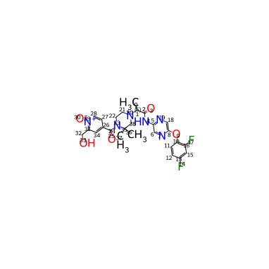 C[C@@H](C(=O)Nc1cnc(Oc2ccc(F)cc2F)cn1)N1CCN(C(=O)c2cc[n+]([O-])c(CO)c2)C(C)(C)C1